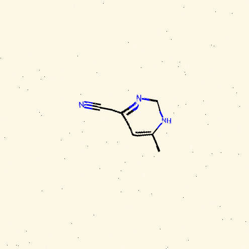 CC1=CC(C#N)=NCN1